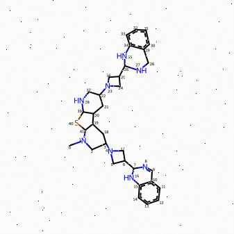 CN1CC(N2CC(C3N=Cc4ccccc4N3)C2)CC2C3CC(N4CC(C5NCc6ccccc6N5)C4)CNC3SC21